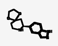 c1cc2[nH]ncc2cc1[C@@H]1CC2(CCN1)OCCO2